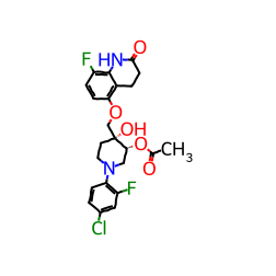 CC(=O)O[C@@H]1CN(c2ccc(Cl)cc2F)CC[C@@]1(O)COc1ccc(F)c2c1CCC(=O)N2